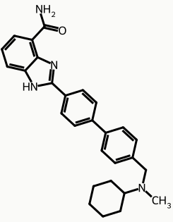 CN(Cc1ccc(-c2ccc(-c3nc4c(C(N)=O)cccc4[nH]3)cc2)cc1)C1CCCCC1